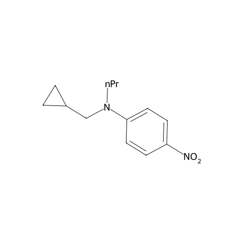 CCCN(CC1CC1)c1ccc([N+](=O)[O-])cc1